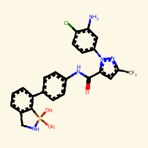 Nc1cc(-n2nc(C(F)(F)F)cc2C(=O)Nc2ccc(-c3cccc4c3S(O)(O)NC4)cc2)ccc1Cl